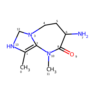 CC1=C2N(CCC(N)C(=O)N2C)CN1